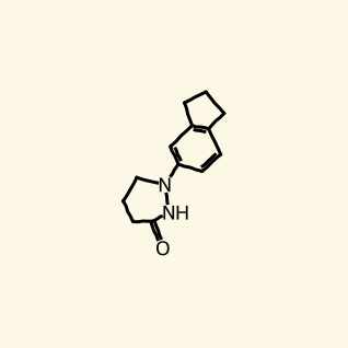 O=C1CCCN(c2ccc3c(c2)CCC3)N1